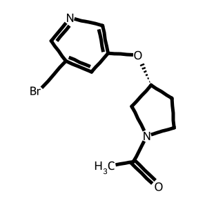 CC(=O)N1CC[C@@H](Oc2cncc(Br)c2)C1